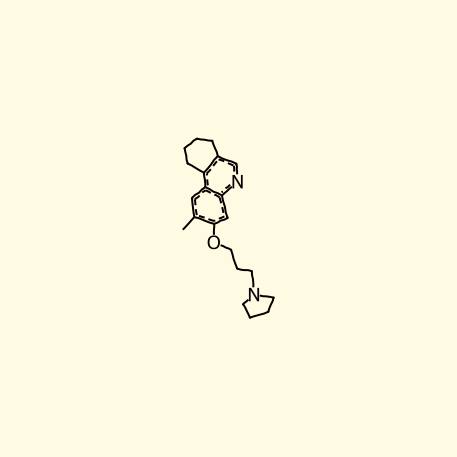 Cc1cc2c3c(cnc2cc1OCCCN1CCCC1)CCCC3